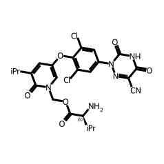 CC(C)c1cc(Oc2c(Cl)cc(-n3nc(C#N)c(=O)[nH]c3=O)cc2Cl)cn(COC(=O)[C@@H](N)C(C)C)c1=O